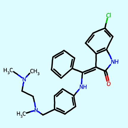 CN(C)CCN(C)Cc1ccc(N/C(=C2\C(=O)Nc3cc(Cl)ccc32)c2ccccc2)cc1